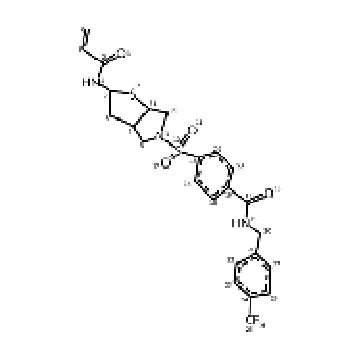 C=CC(=O)NC1CC2CN(S(=O)(=O)c3ccc(C(=O)NCc4ccc(C(F)(F)F)cc4)cc3)CC2S1